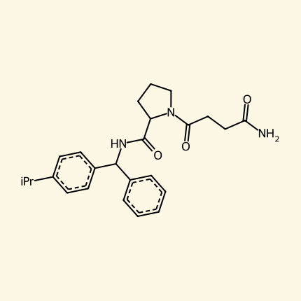 CC(C)c1ccc(C(NC(=O)C2CCCN2C(=O)CCC(N)=O)c2ccccc2)cc1